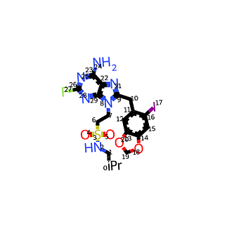 CC(C)CNS(=O)(=O)CCn1c(Cc2cc3c(cc2I)OCO3)nc2c(N)nc(F)nc21